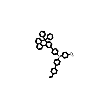 C=Cc1ccc(-c2ccc(N(c3ccc(OC)cc3)c3ccc(-c4ccc5c(c4)-c4cccc6cccc(c46)C5(c4ccccc4)c4ccccc4)cc3)cc2)cc1